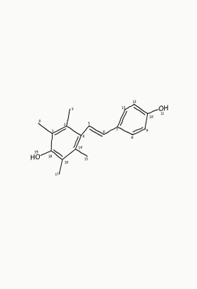 Cc1c(C)c(C=Cc2ccc(O)cc2)c(C)c(C)c1O